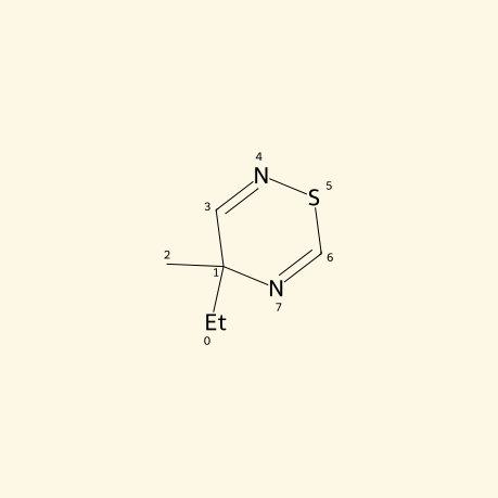 CCC1(C)C=NSC=N1